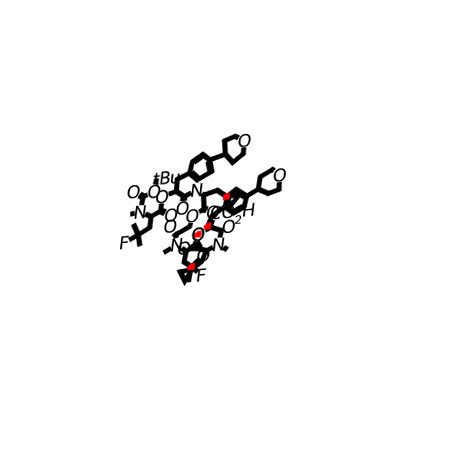 CN(C(=O)COC(=O)C(CC1CC1)N(C)C(=O)C(Cc1ccc(C2CCOCC2)cc1)OC(=O)C(CC(C)(C)F)N(C)C(=O)OC(C)(C)C)C(CC(C)(C)F)C(=O)OC(Cc1ccc(C2CCOCC2)cc1)C(=O)N(C)C(CC1CC1)C(=O)OCC(=O)O